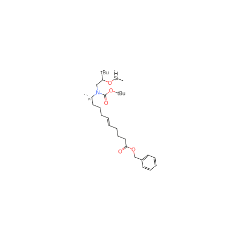 C[C@@H](CCCC=CCCCC(=O)OCc1ccccc1)N(CC(O[SiH](C)C)C(C)(C)C)C(=O)OC(C)(C)C